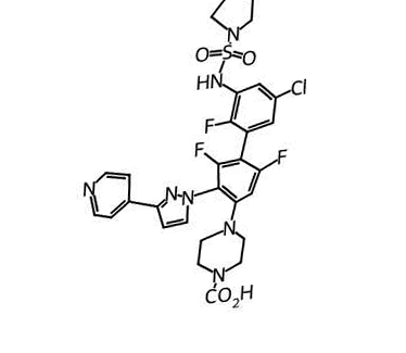 O=C(O)N1CCN(c2cc(F)c(-c3cc(Cl)cc(NS(=O)(=O)N4CCCC4)c3F)c(F)c2-n2ccc(-c3ccncc3)n2)CC1